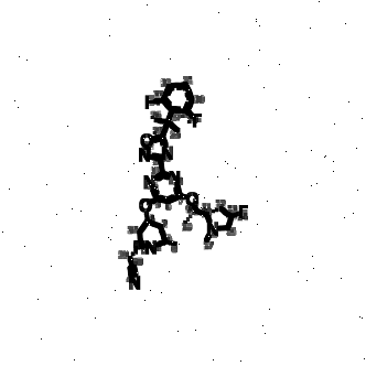 C[C@@H]1C[C@H](Oc2cc(O[C@@H](C)[C@@H]3C[C@@H](F)CN3C)nc(-c3noc(C(C)(C)c4c(F)cccc4F)n3)n2)C[C@@H](CC#N)N1